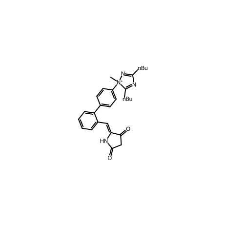 CCCCC1=N[N+](C)(c2ccc(-c3ccccc3/C=C3\NC(=O)CC3=O)cc2)C(CCCC)=N1